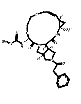 CC(C)(C)OC(=O)N[C@@H]1CCCCC/C=C\[C@@H]2C[C@@]2(C(=O)O)NC(=O)[C@@H]2[C@H]3CN(C(=O)Cc4ccccc4)C[C@H]3CN2C1=O